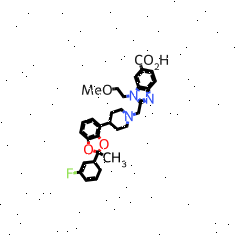 COCCn1c(CN2CCC(c3cccc4c3OC(C)(C3C=C(F)C=CC3)O4)CC2)nc2ccc(C(=O)O)cc21